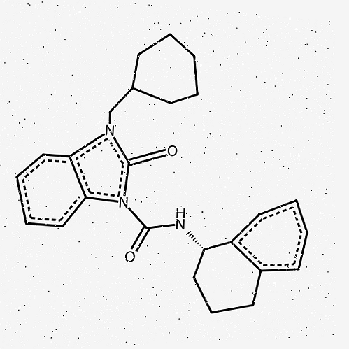 O=C(N[C@H]1CCCc2ccccc21)n1c(=O)n(CC2CCCCC2)c2ccccc21